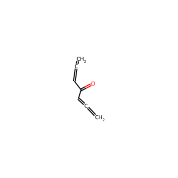 C=C=CC(=O)C=C=C